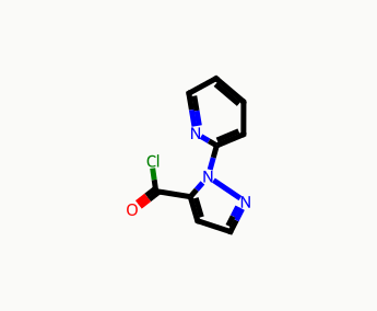 O=C(Cl)c1ccnn1-c1ccccn1